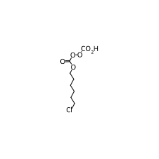 O=C(O)OOC(=O)OCCCCCCCl